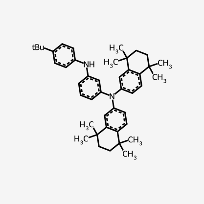 CC(C)(C)c1ccc(Nc2cccc(N(c3ccc4c(c3)C(C)(C)CCC4(C)C)c3ccc4c(c3)C(C)(C)CCC4(C)C)c2)cc1